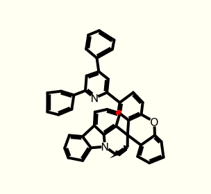 c1ccc(-c2cc(-c3ccccc3)nc(-c3ccc4c(c3)C3(c5ccccc5O4)c4ccccc4-n4c5ccccc5c5cccc3c54)c2)cc1